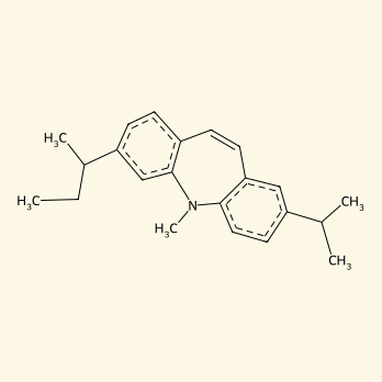 CCC(C)c1ccc2c(c1)N(C)c1ccc(C(C)C)cc1C=C2